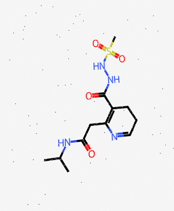 CC(C)NC(=O)CC1=C(C(=O)NNS(C)(=O)=O)CCC=N1